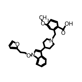 COc1ccc(C(=O)O)c(CN2CCC(c3cn(OCCc4ccco4)c4ccccc34)CC2)c1